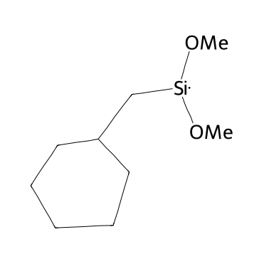 CO[Si](CC1CCCCC1)OC